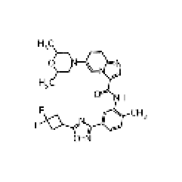 Cc1ccc(-c2noc(C3CC(F)(F)C3)n2)cc1NC(=O)c1cnc2ccc(N3CC(C)OC(C)C3)cn12